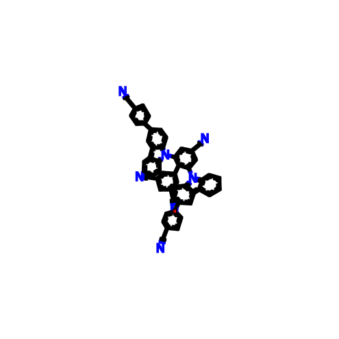 N#Cc1ccc(-c2ccc3c(c2)c2ccccc2n3-c2cc(C#N)cc(-n3c4ccccc4c4cc(-c5ccc(C#N)cc5)ccc43)c2-c2cc(C#N)cc(C#N)c2)cc1